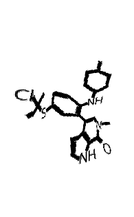 CC1CCC(Nc2ccc(SC(C)(C)Cl)cc2-c2cn(C)c(=O)c3[nH]ccc23)CC1